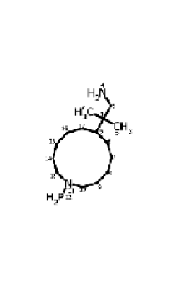 CC(C)(CN)C1CCCCCN(P)CCCCC1